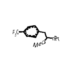 CCCC(Cc1ccc(C(F)(F)F)cc1)OC